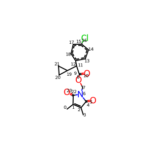 CC1=C(C)C(=O)N(COC(=O)C(c2ccc(Cl)cc2)C2CC2)C1=O